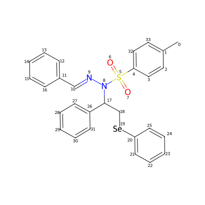 Cc1ccc(S(=O)(=O)N(N=Cc2ccccc2)C(C[Se]c2ccccc2)c2ccccc2)cc1